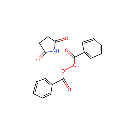 O=C(OOC(=O)c1ccccc1)c1ccccc1.O=C1CCC(=O)N1